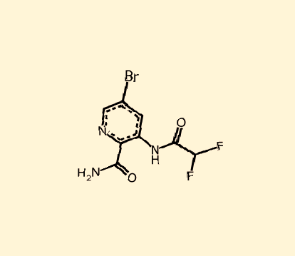 NC(=O)c1ncc(Br)cc1NC(=O)C(F)F